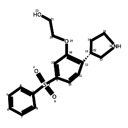 O=S(=O)(c1ccccc1)c1ccc([C@@H]2CCNC2)c(OCCO)c1